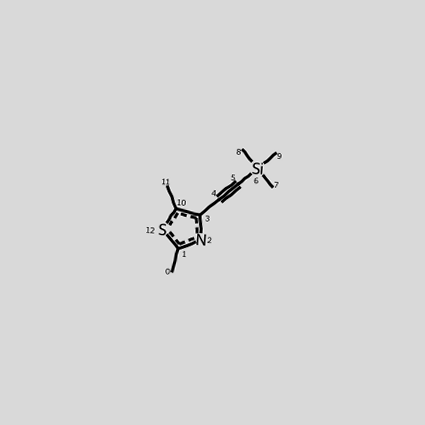 Cc1nc(C#C[Si](C)(C)C)c(C)s1